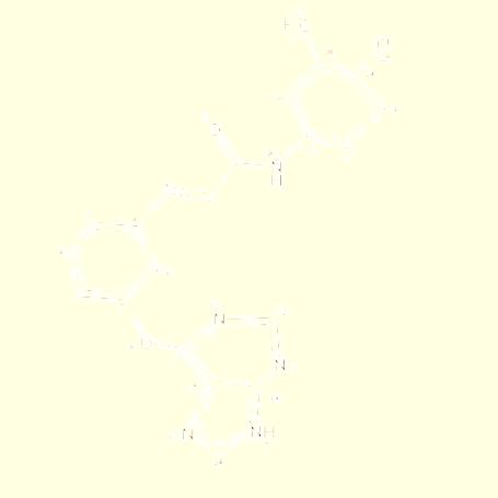 O=C(C=Cc1cccc(Oc2ncnc3[nH]cnc23)c1)Nc1ccc(Cl)c(C(F)(F)F)c1